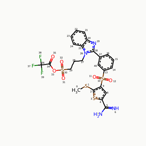 CSc1sc(C(=N)N)cc1S(=O)(=O)c1cccc(-c2nc3ccccc3n2CCCS(=O)(=O)OC(=O)C(F)(F)F)c1